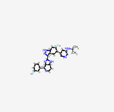 CC(C)Nc1cncc(-c2cc3c(-c4nc5c(-c6cccc(F)c6)nccc5[nH]4)n[nH]c3cc2F)c1